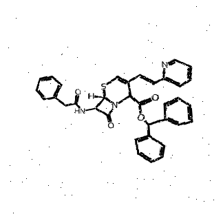 O=C(Cc1ccccc1)NC1C(=O)N2C(C(=O)OC(c3ccccc3)c3ccccc3)C(C=Cc3ccccn3)=CS[C@@H]12